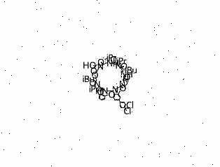 CC[C@H](C)[C@@H]1NC(=O)[C@@H]2CCCN2C(=O)[C@H](Cc2cccc(-c3ccc(Cl)c(Cl)c3)c2)N(C)C(=O)[C@H](Cc2ccccc2)NC(=O)C(C(C)C)N(C)C(=O)[C@@H]([C@@H](C)CC)OC(=O)[C@H](C(C)(C)O)N(C)C(=O)[C@H](CC(C)C)NC(=O)C(C(C)C)N(C)C1=O